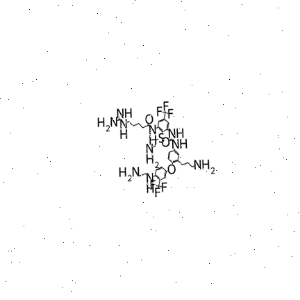 N=C(N)NCCCCC(=O)Nc1cc(C(F)(F)F)cc(NC(=O)Nc2ccc(Oc3ccc(NCCN)c(C(F)(F)F)c3)c(CCCN)c2)c1SCCN